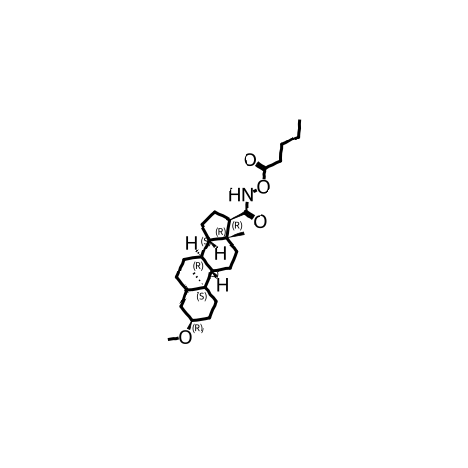 CCCCC(=O)ONC(=O)[C@@H]1CC[C@H]2[C@@H]3CCC4C[C@H](OC)CC[C@]4(C)[C@H]3CC[C@@]12C